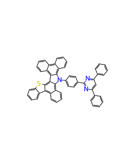 c1ccc(-c2cc(-c3ccccc3)nc(-c3ccc(-n4c5c6ccccc6c6ccccc6c5c5c6sc7ccccc7c6c6ccccc6c54)cc3)n2)cc1